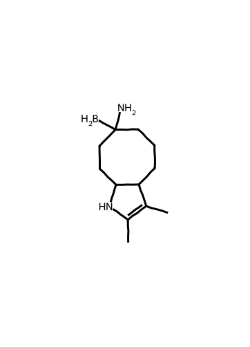 BC1(N)CCCC2C(C)=C(C)NC2CC1